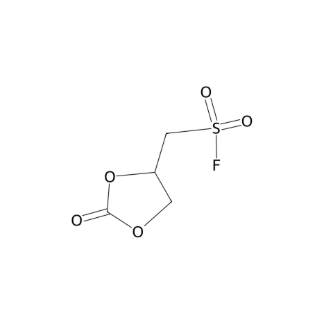 O=C1OCC(CS(=O)(=O)F)O1